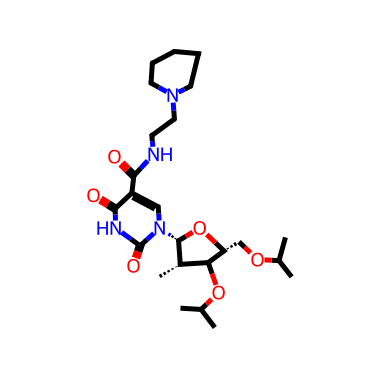 CC(C)OC[C@H]1O[C@@H](n2cc(C(=O)NCCN3CCCCC3)c(=O)[nH]c2=O)[C@@H](C)C1OC(C)C